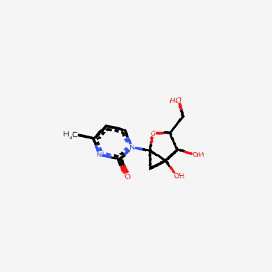 Cc1ccn(C23CC2(O)C(O)C(CO)O3)c(=O)n1